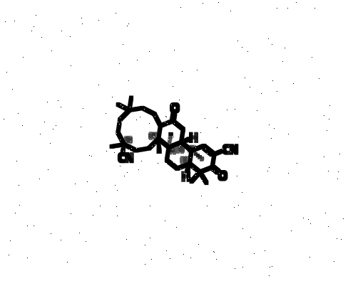 CC1(C)CCC2C(=O)C[C@@H]3[C@@]4(C)C=C(C#N)C(=O)C(C)(C)[C@@H]4CC[C@@]3(C)[C@]2(C)CC[C@@](C)(C#N)CC1